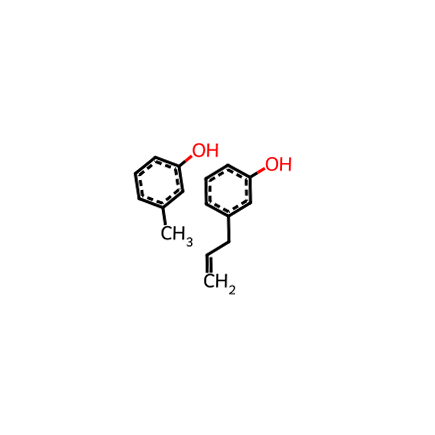 C=CCc1cccc(O)c1.Cc1cccc(O)c1